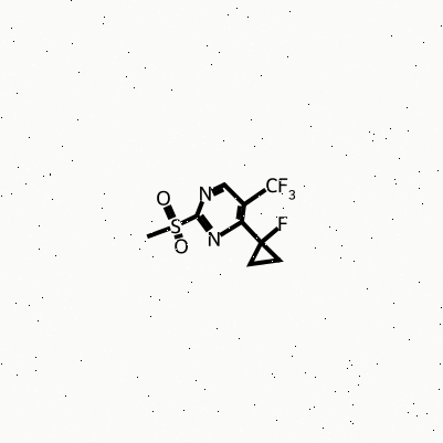 CS(=O)(=O)c1ncc(C(F)(F)F)c(C2(F)CC2)n1